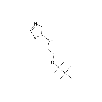 CC(C)(C)[Si](C)(C)OCCNc1cncs1